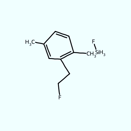 Cc1ccc(C)c(CCF)c1.F[SiH3]